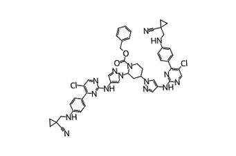 N#CC1(CNc2ccc(-c3nc(Nc4cnn(C5CCN(C(=O)OCc6ccccc6)C(n6cc(Nc7ncc(Cl)c(-c8ccc(NCC9(C#N)CC9)cc8)n7)cn6)C5)c4)ncc3Cl)cc2)CC1